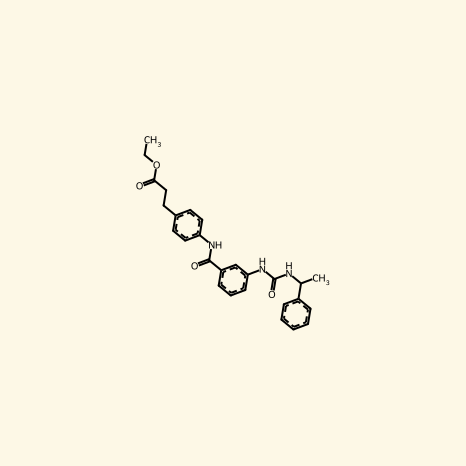 CCOC(=O)CCc1ccc(NC(=O)c2cccc(NC(=O)NC(C)c3ccccc3)c2)cc1